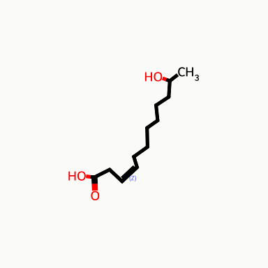 CC(O)CCCCCC/C=C\CC(=O)O